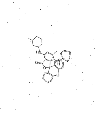 Cc1cc(NC2CCCC(C)C2)c2c(c1Nc1ccccc1)C1(OC2=O)c2ccccc2Oc2ccccc21